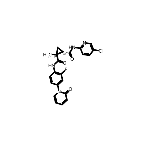 C[C@@]1(C(=O)Nc2ccc(-n3ccccc3=O)cc2F)C[C@@H]1C(=O)Nc1ccc(Cl)cn1